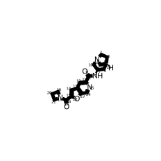 O=C(N[C@@H]1C[C@@H]2CCN(C2)C1)c1cc2cc(C(=O)N3CCC3)oc2cn1